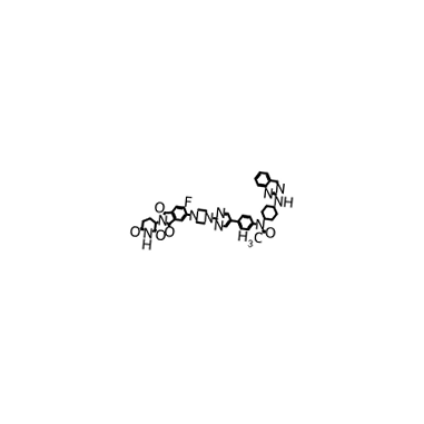 CC(=O)N(c1ccc(-c2cnc(N3CCN(c4cc5c(cc4F)C(=O)N(C4CCC(=O)NC4=O)C5=O)CC3)nc2)cc1)C1CCC(Nc2ncc3ccccc3n2)CC1